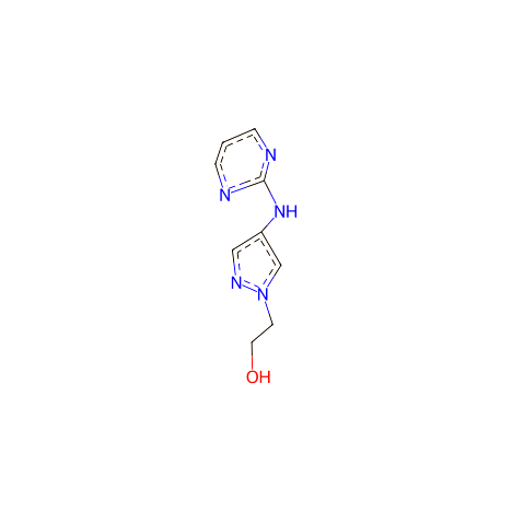 OCCn1cc(Nc2ncccn2)cn1